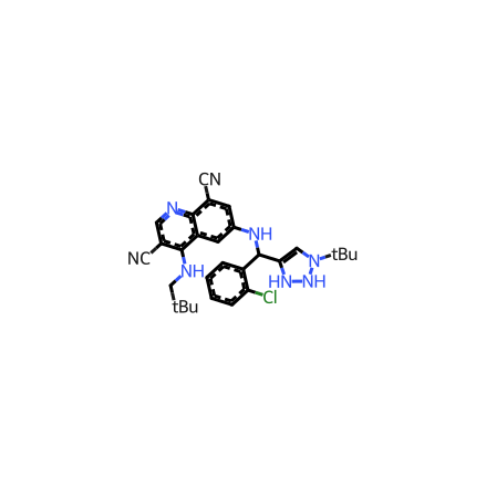 CC(C)(C)CNc1c(C#N)cnc2c(C#N)cc(NC(C3=CN(C(C)(C)C)NN3)c3ccccc3Cl)cc12